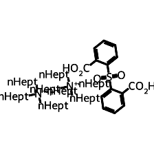 CCCCCCC[N+](CCCCCCC)(CCCCCCC)CCCCCCC.CCCCCCC[N+](CCCCCCC)(CCCCCCC)CCCCCCC.O=C(O)c1ccccc1S(=O)(=O)c1ccccc1C(=O)O